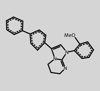 COc1ccccc1N1C=C(c2ccc(-c3ccccc3)cc2)N2CCCN=C21